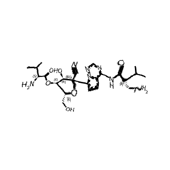 CC(C)[C@H](N)C(=O)O[C@H]1[C@@H](O)[C@](C#N)(c2ccc3c(NC(=O)[C@@H](CN)C(C)C)ncnn23)O[C@@H]1CO